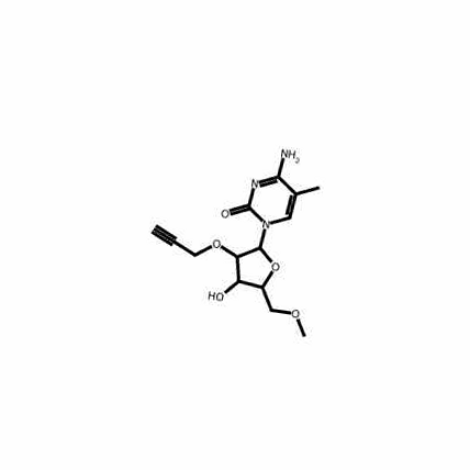 C#CCOC1C(O)C(COC)OC1n1cc(C)c(N)nc1=O